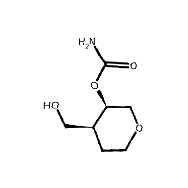 NC(=O)O[C@H]1COCC[C@H]1CO